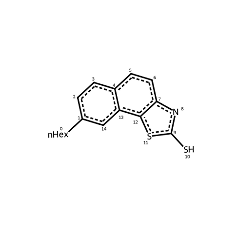 CCCCCCc1ccc2ccc3nc(S)sc3c2c1